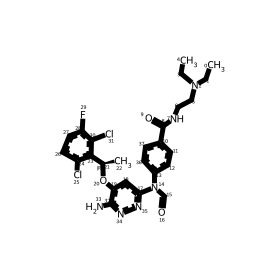 CCN(CC)CCNC(=O)c1ccc(N(C=O)c2cc(O[C@H](C)c3c(Cl)ccc(F)c3Cl)c(N)nn2)cc1